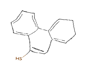 Sc1cc2c(c3ccccc13)=CCCC=2